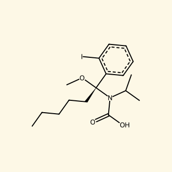 CCCCC[C@@](OC)(c1ccccc1I)N(C(=O)O)C(C)C